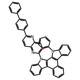 c1ccc(-c2ccc(-c3ccc4nc(-n5c6ccccc6c6c7ccccc7c7c8ccccc8n(-c8ccccc8)c7c65)ccc4n3)cc2)cc1